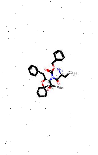 COC(=O)[C@H](C(Cc1ccccc1)OC1(C)CC=CCC1)N(C(=O)OCc1ccccc1)C(=O)[C@@H](N)CC(=O)O